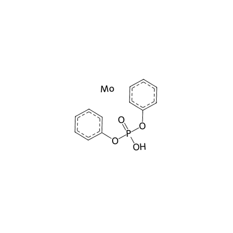 O=P(O)(Oc1ccccc1)Oc1ccccc1.[Mo]